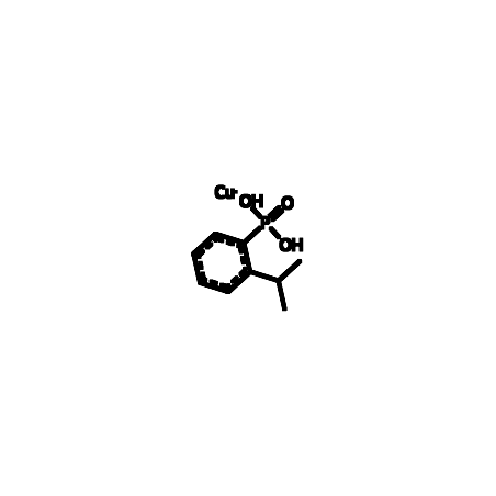 CC(C)c1ccccc1P(=O)(O)O.[Cu]